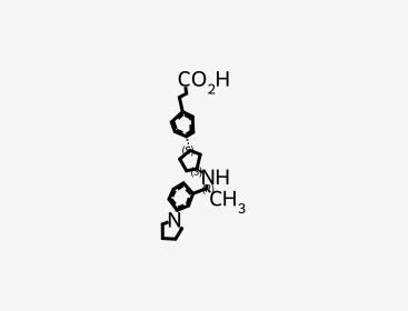 C[C@@H](N[C@H]1CC[C@H](c2ccc(CCC(=O)O)cc2)C1)c1cccc(N2CCCC2)c1